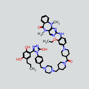 CCCc1cc(-c2nnc(O)n2-c2ccc(CN3CCN(CC4CCN(C(=O)C5CCN(c6ccc(Nc7ncc8c(n7)N(C)c7ccccc7C(=O)N8C)c(OCC)c6)CC5)CC4)CC3)cc2)c(O)cc1O